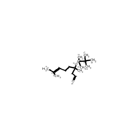 CC(C)=CCCC(C)(CC=O)O[Si](C)(C)C(C)(C)C